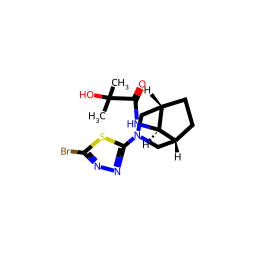 CC(C)(O)C(=O)N[C@@H]1[C@@H]2CC[C@H]1CN(c1nnc(Br)s1)C2